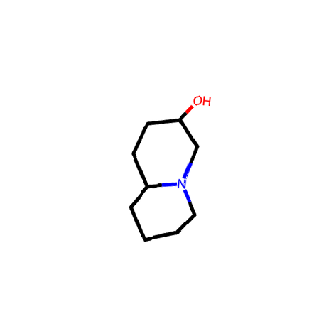 OC1CCC2CCCCN2C1